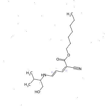 CCCCCCCOC(=O)/C(C#N)=C\C=C\NC(CO)C(C)C